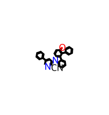 N#Cc1ncc(-c2ccccc2)cc1-n1c2ccccc2c2c3c(ccc21)oc1ccccc13